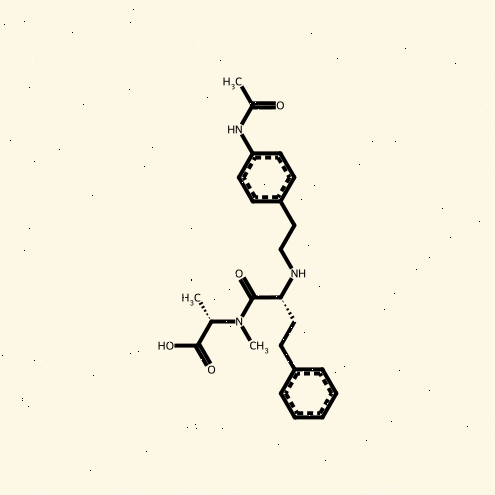 CC(=O)Nc1ccc(CCN[C@H](CCc2ccccc2)C(=O)N(C)[C@@H](C)C(=O)O)cc1